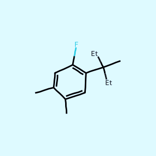 CCC(C)(CC)c1cc(C)c(C)cc1F